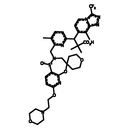 Cc1ccc(C(c2ccn3c(C(F)(F)F)nnc3c2C)C(C)(C)C(=O)O)nc1CN1CC2(CCOCC2)Oc2nc(OCCN3CCOCC3)ccc2[S+]1[O-]